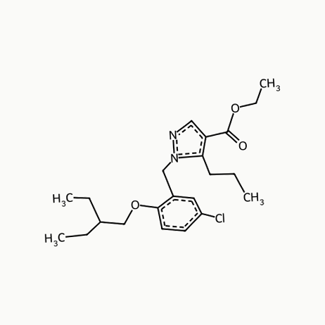 CCCc1c(C(=O)OCC)cnn1Cc1cc(Cl)ccc1OCC(CC)CC